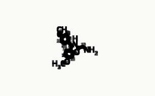 COc1ccc(C(NC(=O)CN)c2ccc(OC)cc2)cc1